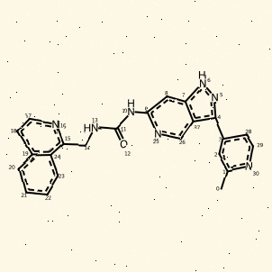 Cc1cc(-c2n[nH]c3cc(NC(=O)NCc4nccc5ccccc45)ncc23)ccn1